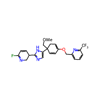 COCC1(c2cnc(C3C=CC(F)=NC3)[nH]2)C=CC(OCc2cccc(C(F)(F)F)n2)=CC1